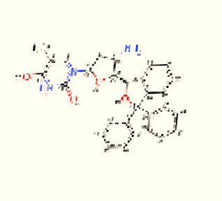 Cc1cn([C@H]2C[C@H](N)[C@@H](COC(c3ccccc3)(c3ccccc3)c3ccccc3)O2)c(=O)[nH]c1=O